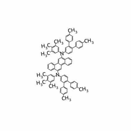 Cc1ccc(-c2ccc(N(c3cc(C)c(C)c(C)c3)c3cc4c5ccccc5c(N(c5cc(C)c(C)c(C)c5)c5ccc(-c6ccc(C)cc6)c(-c6ccc(C)cc6)c5)cc4c4ccccc34)cc2-c2ccc(C)cc2)cc1